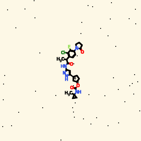 CC(C(=O)Nc1cc([C@H]2CC[C@@H](OC(=O)NC3(C)CC3)C2)[nH]n1)c1ccc(N2CCCC2=O)c(F)c1Cl